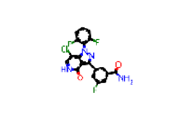 NC(=O)c1cc(F)cc(-c2nn(-c3c(F)cccc3F)c3c(Cl)c[nH]c(=O)c23)c1